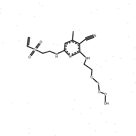 C=CS(=O)(=O)CCNc1cc(C)c(C#N)c(NCCOSOOO)n1